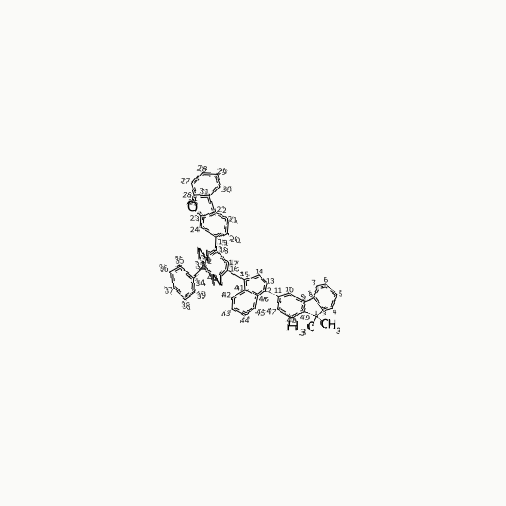 CC1(C)c2ccccc2-c2cc(-c3ccc(-c4cc(-c5ccc6c(c5)oc5ccccc56)nc(-c5ccccc5)n4)c4ccccc34)ccc21